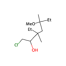 CCC(C)(CC(C)(CC)C(O)CCl)OC